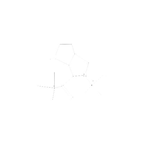 CC(C)(C)C(=O)C1C2SCCC2CN1C(C)(C)C